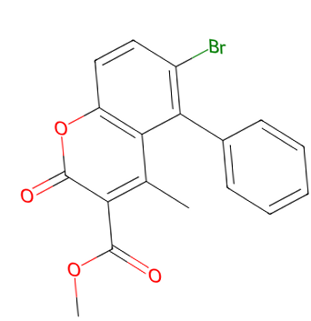 COC(=O)c1c(C)c2c(-c3ccccc3)c(Br)ccc2oc1=O